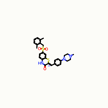 Cc1cccc(C)c1CS(=O)(=O)c1ccc2c(c1)S/C(=C\c1ccc(N3CCN(C)CC3)cc1)C(=O)N2